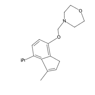 CC1=CCc2c(OCN3CCOCC3)ccc(C(C)C)c21